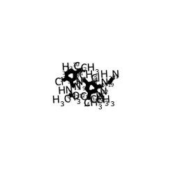 CC(=O)Nc1nn(Cc2cc(C(C)(C)C)c3c(c(NCC#N)nn3C)c2Cl)c2c(C(C)(C)C)ccc(Cl)c12